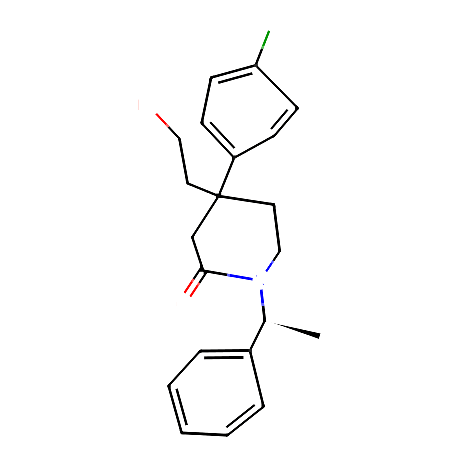 C[C@@H](c1ccccc1)N1CCC(CCO)(c2ccc(F)cc2)CC1=O